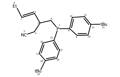 CCC=CC(CC#N)CP(c1ccc(C(C)(C)C)cc1)c1ccc(C(C)(C)C)cc1